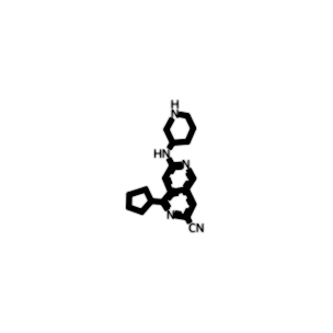 N#Cc1cc2cnc(NC3CCCNC3)cc2c(C2CCCC2)n1